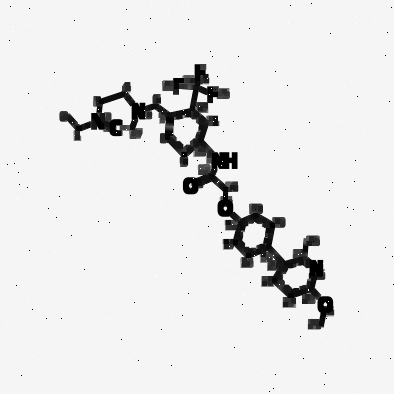 CCN1CCN(Cc2ccc(NC(=O)COc3ccc(-c4ccc(OC)nc4C)cc3)cc2C(F)(F)F)CC1